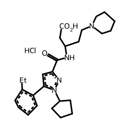 CCc1ccccc1-c1cc(C(=O)NC(CCN2CCCCC2)CC(=O)O)nn1C1CCCC1.Cl